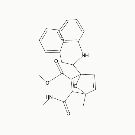 CNC(=O)C1=C(C(=O)OC)C2(C(Cc3ccccc3)Nc3ccccc3)C=CC1(C)O2